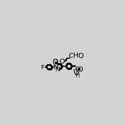 O=CCCCOc1c(-c2ccc(C[SH](=O)=O)cc2)cnn(-c2ccc(F)cc2)c1=O